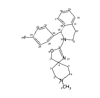 CN1CCC2(CC1)COC(N1CCc3ccccc3C1c1ccc(F)cc1)=N2